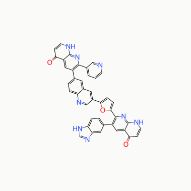 O=c1cc[nH]c2nc(-c3cccnc3)c(-c3ccc4ncc(-c5ccc(-c6nc7[nH]ccc(=O)c7cc6-c6ccc7[nH]cnc7c6)o5)cc4c3)cc12